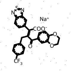 O=C([O-])C(=C(Cc1ccc(C(F)(F)F)cc1)C(=O)c1ccc2c(c1)OCCO2)c1ccc2nsnc2c1.[Na+]